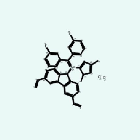 C=Cc1ccc2c(c1)-c1cc(C=C)ccc1[CH]2[Zr+2]([C]1=CC(C)=CC1C)=[C](c1cccc(F)c1)c1cccc(F)c1.[Cl-].[Cl-]